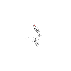 COc1cc(-c2cncc(-c3cc(NC(=O)CC45CC(C4)C5)cs3)n2)ccc1C(=O)N1CCOCC1